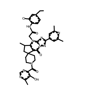 CCc1ccc(NC(=O)Cn2c3c(c(=O)n4nc(-c5cc(C)nc(C)c5)nc24)C2(CCN(C(=O)c4ncnc(C)c4O)CC2)CC3C)c(Cl)c1